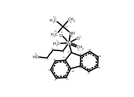 [CH2]=[Zr]([CH3])([Cl])([Cl])([CH2]CCO)([NH]C(C)(C)C)[CH]1c2ccccc2-c2ccccc21